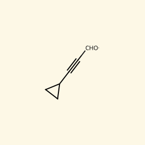 O=[C]C#CC1CC1